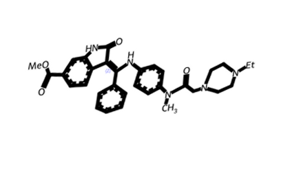 CCN1CCN(CC(=O)N(C)c2ccc(N/C(=C3\C(=O)Nc4cc(C(=O)OC)ccc43)c3ccccc3)cc2)CC1